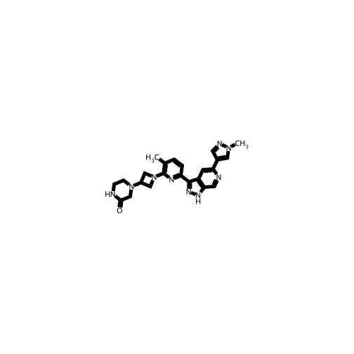 Cc1ccc(-c2n[nH]c3cnc(-c4cnn(C)c4)cc23)nc1N1CC(N2CCNC(=O)C2)C1